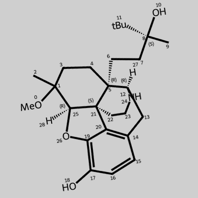 COC1(C)CC[C@@]2(CC[C@](C)(O)C(C)(C)C)[C@H]3Cc4ccc(O)c5c4[C@@]2(CCN3)[C@H]1O5